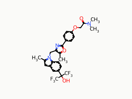 Cc1oc(-c2ccc(OCC(=O)N(C)C)cc2)nc1Cn1c(C)cc2cc(C(O)(C(F)(F)F)C(F)(F)F)ccc21